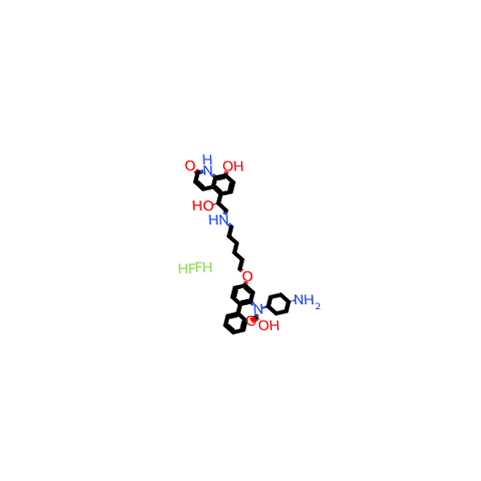 F.F.N[C@H]1CC[C@H](N(C(=O)O)c2cc(OCCCCCCNC[C@H](O)c3ccc(O)c4[nH]c(=O)ccc34)ccc2-c2ccccc2)CC1